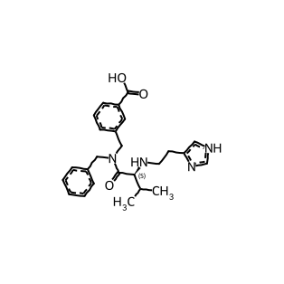 CC(C)[C@H](NCCc1c[nH]cn1)C(=O)N(Cc1ccccc1)Cc1cccc(C(=O)O)c1